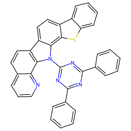 c1ccc(-c2nc(-c3ccccc3)nc(-n3c4c(ccc5cccnc54)c4ccc5c6ccccc6sc5c43)n2)cc1